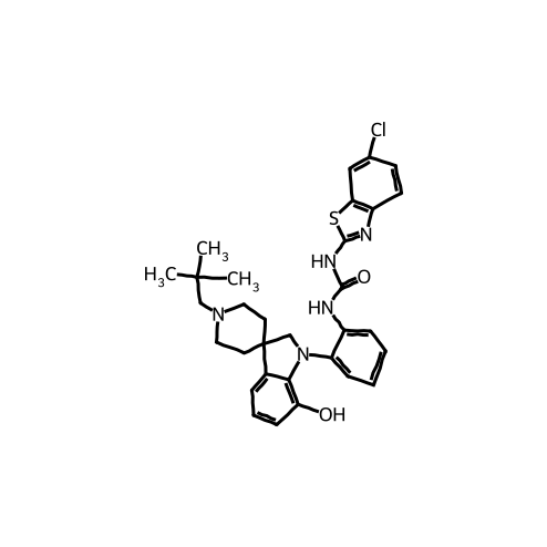 CC(C)(C)CN1CCC2(CC1)CN(c1ccccc1NC(=O)Nc1nc3ccc(Cl)cc3s1)c1c(O)cccc12